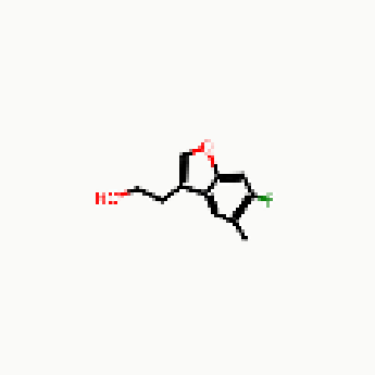 Cc1cc2c(CCO)coc2cc1F